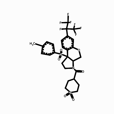 Cc1ccc(S(=O)(=O)C23CCN(C(=O)C4CCS(=O)(=O)CC4)C2COc2cc(C(F)(C(F)(F)F)C(F)(F)F)ccc23)cc1